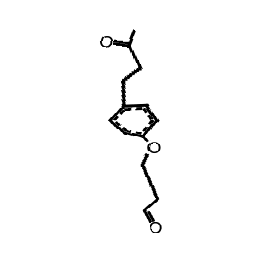 CC(=O)CCc1ccc(OCCC=O)cc1